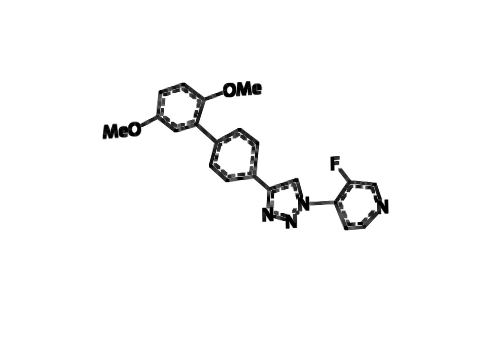 COc1ccc(OC)c(-c2ccc(-c3cn(-c4ccncc4F)nn3)cc2)c1